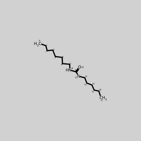 CCCCCCCCNC(=O)[N]CCCCCC